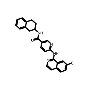 O=C(NC1CCc2ccccc2C1)c1ccc(Nc2nccc3ccc(Cl)cc23)nc1